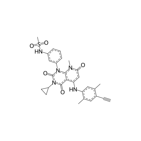 C#Cc1cc(C)c(Nc2cc(=O)n(C)c3c2c(=O)n(C2CC2)c(=O)n3-c2cccc(NS(C)(=O)=O)c2)cc1C